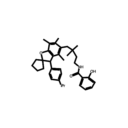 Cc1c(C)c2c(c(C)c1CC(C)(C)CCNC(=O)c1ccccc1O)C(c1ccc(C(C)C)cc1)C1(CCCC1)O2